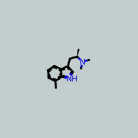 Cc1cccc2c(C[C@@H](C)N(C)C)c[nH]c12